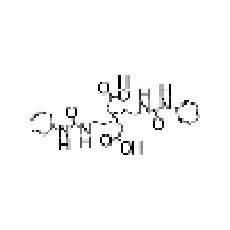 O=C(O)CS(CCNC(=O)Nc1ccccc1)(CCNC(=O)Nc1ccccc1)CC(=O)O